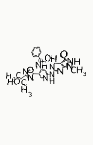 Cn1[nH]c(=O)c2cnc(Nc3cc(N[C@H](CO)c4ccccc4)c(-c4nc(C(C)(C)O)no4)cn3)nc21